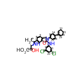 C=C(NC[C@@H](O)C(=O)O)c1ccc(CN(C(=O)Nc2cc(Cl)cc(Cl)c2)c2ccc(C3=CCCCC3)cc2)cc1